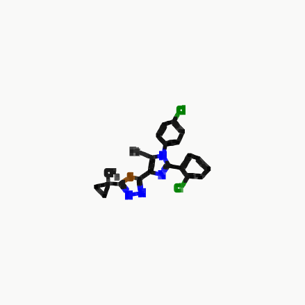 CCc1c(-c2nnc(C3(C(F)(F)F)CC3)s2)nc(-c2ccccc2Cl)n1-c1ccc(Cl)cc1